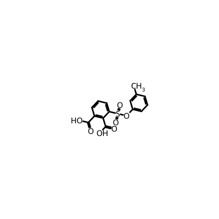 Cc1cccc(OS(=O)(=O)c2cccc(C(=O)O)c2C(=O)O)c1